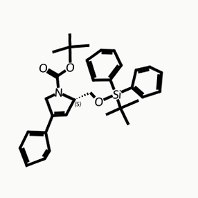 CC(C)(C)OC(=O)N1CC(c2ccccc2)=C[C@H]1CO[Si](c1ccccc1)(c1ccccc1)C(C)(C)C